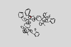 COC(=O)C1(N(OCc2ccccc2F)C(C)=O)CC[N+](CCc2ccccc2)(OC(=O)C(=O)O[N+]2(CCc3ccccc3)CCC(C(=O)OC)(N(OCc3ccccc3F)C(C)=O)CC2)CC1